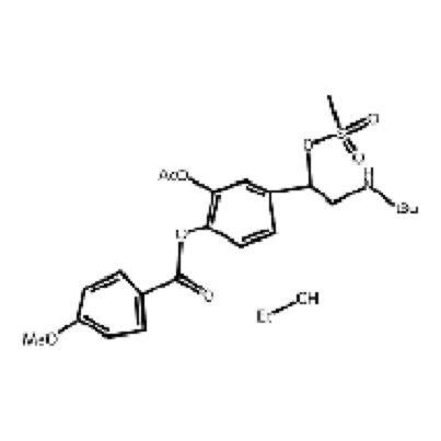 CCO.COc1ccc(C(=O)Oc2ccc(C(CNC(C)(C)C)OS(C)(=O)=O)cc2OC(C)=O)cc1